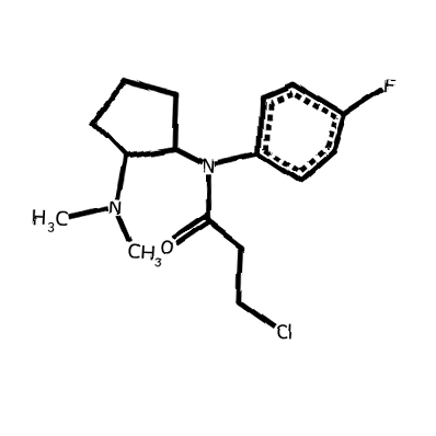 CN(C)C1CCCC1N(C(=O)CCCl)c1ccc(F)cc1